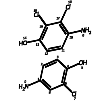 Nc1ccc(O)c(Cl)c1.Nc1ccc(O)c(Cl)c1Cl